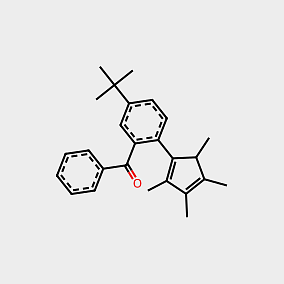 CC1=C(C)C(C)C(c2ccc(C(C)(C)C)cc2C(=O)c2ccccc2)=C1C